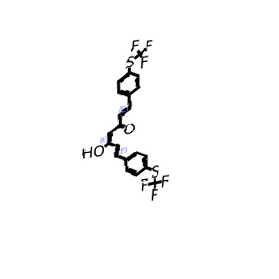 O=C(/C=C/c1ccc(SC(F)(F)F)cc1)/C=C(O)\C=C\c1ccc(SC(F)(F)F)cc1